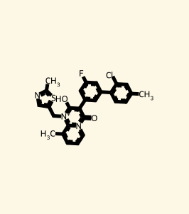 Cc1ccc(-c2cc(F)cc(-c3c(O)[n+](Cc4cnc(C)s4)c4c(C)cccn4c3=O)c2)c(Cl)c1